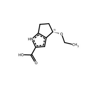 CCO[C@H]1CCc2[nH]c(C(=O)O)cc21